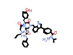 C=CCN1CC(=O)N2[C@@H](Cc3ccc(O)cc3)C(=O)N(Cc3cccc4c(-c5ccc(C(=O)N(N)C(C)C)cc5)cn(C)c34)C[C@@H]2N1C(=O)NCc1ccccc1